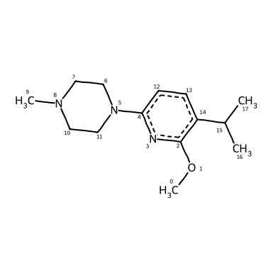 COc1nc(N2CCN(C)CC2)ccc1C(C)C